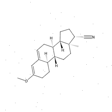 COC1=CC2=CC[C@@H]3[C@H](CC[C@]4(C)[C@@H](C#N)CC[C@@H]34)[C@H]2CC1